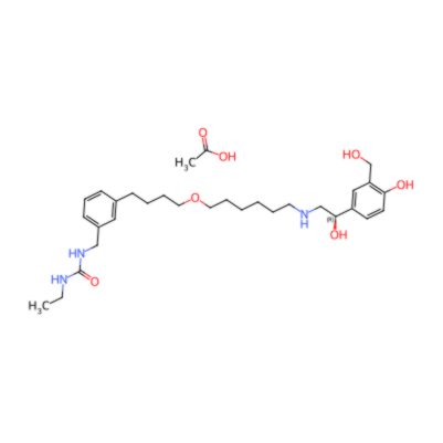 CC(=O)O.CCNC(=O)NCc1cccc(CCCCOCCCCCCNC[C@H](O)c2ccc(O)c(CO)c2)c1